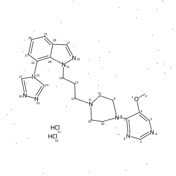 COc1cncnc1N1CCN(CCCn2ncc3cccc(-n4cnnc4)c32)CC1.Cl.Cl